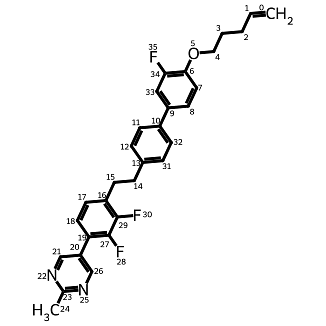 C=CCCCOc1ccc(-c2ccc(CCc3ccc(-c4cnc(C)nc4)c(F)c3F)cc2)cc1F